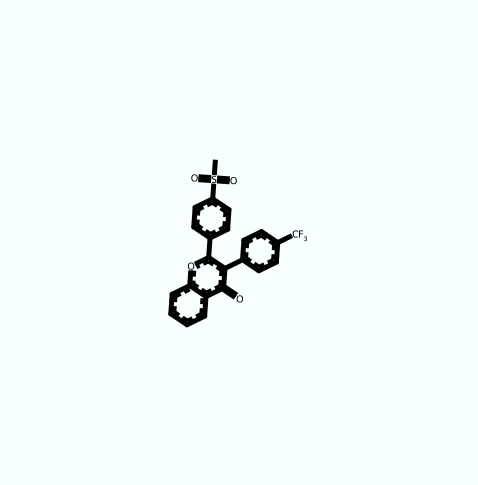 CS(=O)(=O)c1ccc(-c2oc3ccccc3c(=O)c2-c2ccc(C(F)(F)F)cc2)cc1